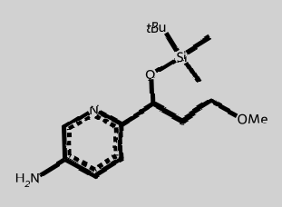 COCCC(O[Si](C)(C)C(C)(C)C)c1ccc(N)cn1